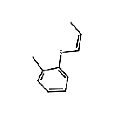 C/C=C\Sc1ccccc1C